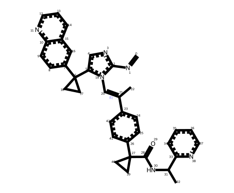 C=Nc1ncc(C2(c3ccc4ncccc4c3)CC2)n1/C=C(\C)c1ccc(C2(C(=O)NC(C)c3ccccn3)CC2)cc1